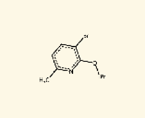 Cc1ccc(Br)c(OC(C)C)n1